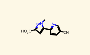 Cn1nc(C(=O)O)cc1-c1ccc(C#N)cn1